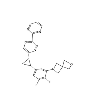 Fc1cc([C@@H]2C[C@@H]2c2cnc(-c3ncccn3)nc2)cc(N2CC3(COC3)C2)c1F